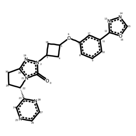 O=c1n(C2CC(Oc3cccc(-c4nnco4)c3)C2)nc2n1[C@H](c1cnccn1)CC2